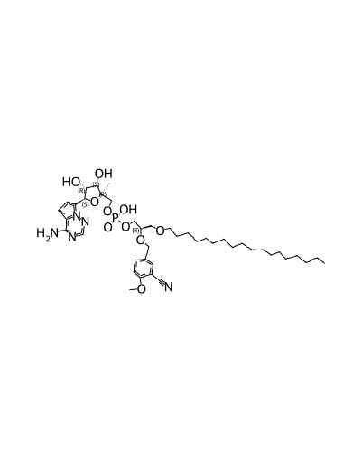 CCCCCCCCCCCCCCCCCCOC[C@H](COP(=O)(O)OC[C@@]1(C)O[C@@H](c2ccc3c(N)ncnn23)[C@H](O)[C@@H]1O)OCc1ccc(OC)c(C#N)c1